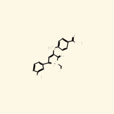 CCn1nc(-c2cccc(C)c2)cc(Nc2ccc(C(=O)O)cc2)c1=O